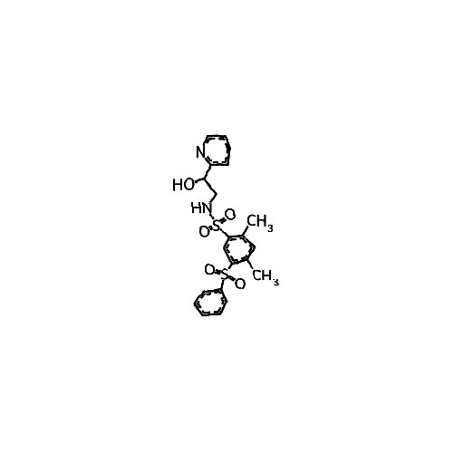 Cc1cc(C)c(S(=O)(=O)c2ccccc2)cc1S(=O)(=O)NCC(O)c1ccccn1